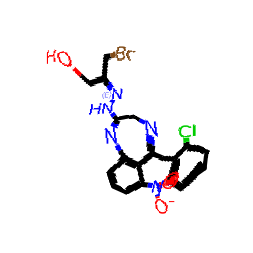 O=[N+]([O-])c1cccc2c1C(c1ccccc1Cl)=NCC(N/N=C(\CO)CBr)=N2